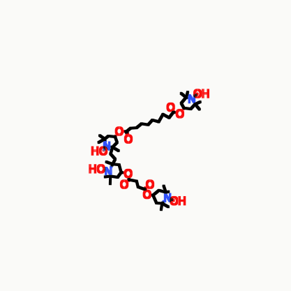 CC1(C)CC(OC(=O)CCCCCCCCC(=O)OC2CC(C)(C)N(O)C(C)(CCC3(C)CC(OC(=O)CCC(=O)OC4CC(C)(C)N(O)C(C)(C)C4)CC(C)(C)N3O)C2)CC(C)(C)N1O